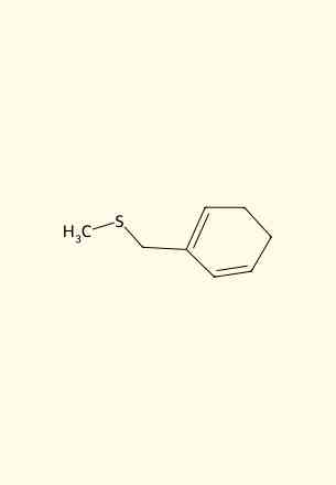 CSCC1=CCCC=C1